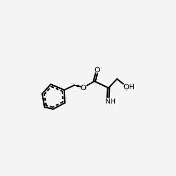 N=C(CO)C(=O)OCc1ccccc1